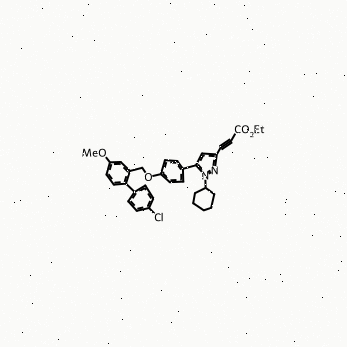 CCOC(=O)C#Cc1cc(-c2ccc(OCc3cc(OC)ccc3-c3ccc(Cl)cc3)cc2)n(C2CCCCC2)n1